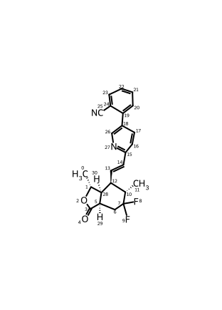 C[C@H]1OC(=O)[C@@H]2CC(F)(F)[C@@H](C)[C@H](C=Cc3ccc(-c4ccccc4C#N)cn3)[C@H]12